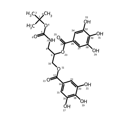 CC(C)(C)OC(=O)NCC(COC(=O)c1cc(O)c(O)c(O)c1)OC(=O)c1cc(O)c(O)c(O)c1